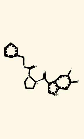 O=C(c1c[nH]c2cc(F)c(F)cc12)[C@H]1CCCN1C(=O)OCc1ccccc1